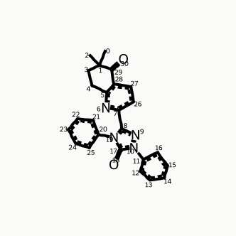 CC1(C)CCc2nc(-c3nn(-c4ccccc4)c(=O)n3-c3ccccc3)ccc2C1=O